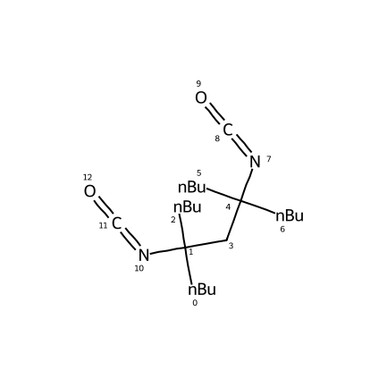 CCCCC(CCCC)(CC(CCCC)(CCCC)N=C=O)N=C=O